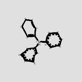 C1=CC([SiH](c2ccccc2)c2ccccc2)=CCC1